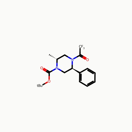 C[C@@H]1CN(C(=O)C(F)(F)F)[C@@H](c2ccccc2)CN1C(=O)OC(C)(C)C